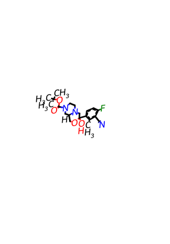 Cc1c(C2(O)CN3CCN(C(=O)OC(C)(C)C)C[C@@H]3CO2)ccc(F)c1C#N